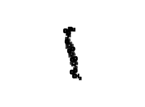 C=CC(=O)OCCc1ccc(OC(=O)c2ccc(OC(=O)c3ccc(OCCCCOC(=O)C(C)CC)cc3)cc2)cc1